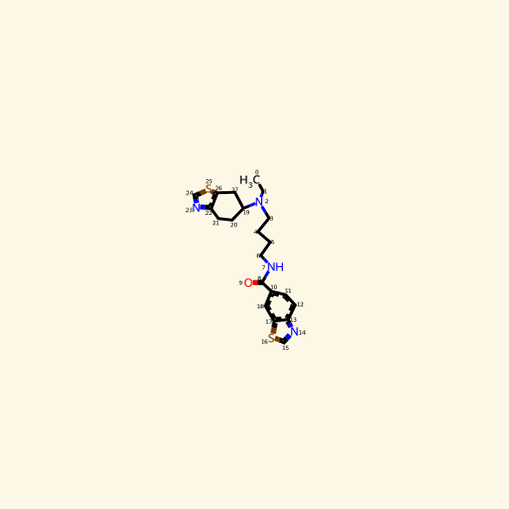 CCN(CCCCNC(=O)c1ccc2ncsc2c1)C1CCc2ncsc2C1